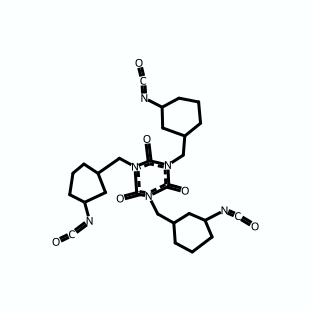 O=C=NC1CCCC(Cn2c(=O)n(CC3CCCC(N=C=O)C3)c(=O)n(CC3CCCC(N=C=O)C3)c2=O)C1